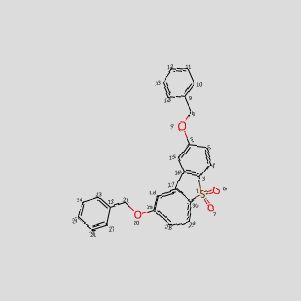 O=S1(=O)c2ccc(OCc3ccccc3)cc2-c2cc(OCc3ccccc3)ccc21